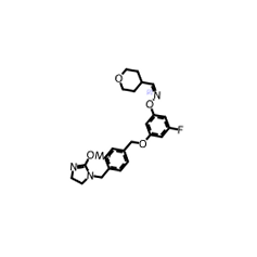 COC1=NCCN1Cc1ccc(COc2cc(F)cc(O/N=C\C3CCOCC3)c2)cc1